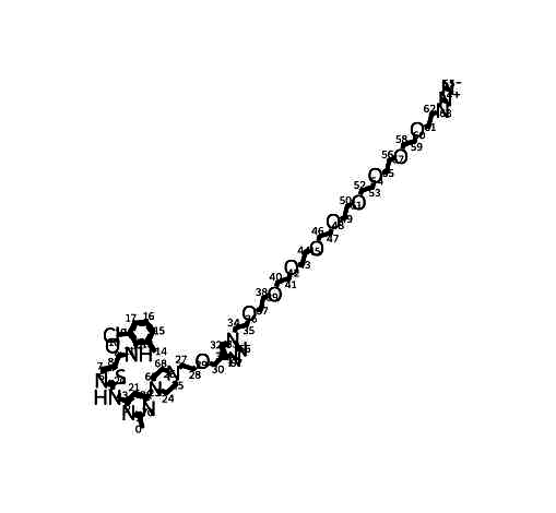 Cc1nc(Nc2ncc(C(=O)Nc3c(C)cccc3Cl)s2)cc(N2CCN(CCOCc3cn(CCOCCOCCOCCOCCOCCOCCOCCOCCOCCN=[N+]=[N-])nn3)CC2)n1